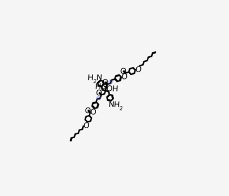 C=CCCCCCCOC1CCC(C(=O)Oc2ccc(/C=C/C(=O)CC(Cc3ccc(N)cc3)(Cc3ccc(N)cc3)C(O)(O)C(=O)/C=C/c3ccc(OC(=O)C4CCC(OCCCCCCC=C)CC4)cc3)cc2)CC1